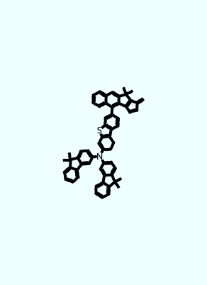 C=C1C=CC2=C1C(C)(C)c1cc3ccccc3c(-c3ccc4c5c(sc4c3)C=C(N(c3ccc4c(c3)-c3ccccc3C4(C)C)c3ccc4c(c3)-c3ccccc3C4(C)C)CC5)c12